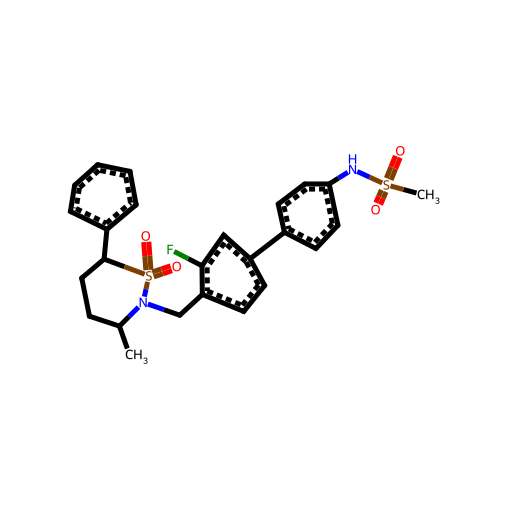 CC1CCC(c2ccccc2)S(=O)(=O)N1Cc1ccc(-c2ccc(NS(C)(=O)=O)cc2)cc1F